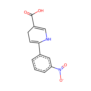 O=C(O)C1=CNC(c2cccc([N+](=O)[O-])c2)=CC1